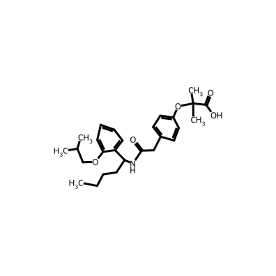 CCCCC(NC(=O)Cc1ccc(OC(C)(C)C(=O)O)cc1)c1ccccc1OCC(C)C